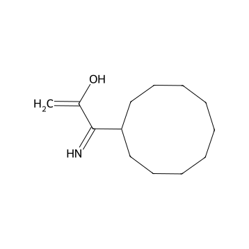 C=C(O)C(=N)C1CCCCCCCCC1